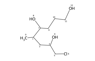 CC([CH]C(O)CCl)C(O)CCCO